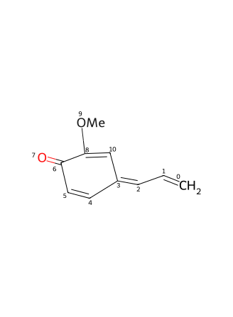 C=C/C=C1/C=CC(=O)C(OC)=C1